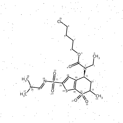 CCN(C(=O)OCCCCCl)[C@H]1CC(C)S(=O)(=O)c2sc(S(=O)(=O)/N=C/N(C)C)cc21